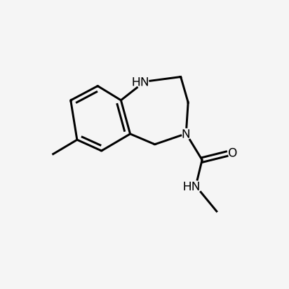 CNC(=O)N1CCNc2ccc(C)cc2C1